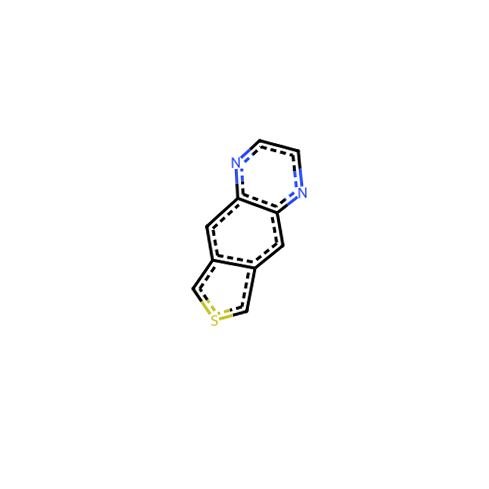 c1cnc2cc3cscc3cc2n1